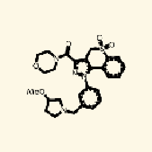 COC1CCN(Cc2cccc(-n3nc(C(=O)N4CCOCC4)c4c3-c3ccccc3S(=O)(=O)C4)c2)C1